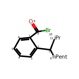 CCCCCC(c1ccccc1C(=O)Br)C(C)C